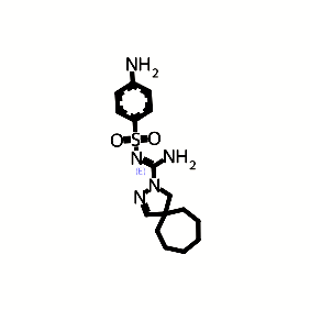 N/C(=N\S(=O)(=O)c1ccc(N)cc1)N1CC2(C=N1)CCCCCC2